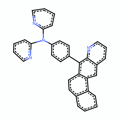 c1ccc(N(c2ccc(-c3c4ccc5ccccc5c4cc4cccnc34)cc2)c2ccccn2)nc1